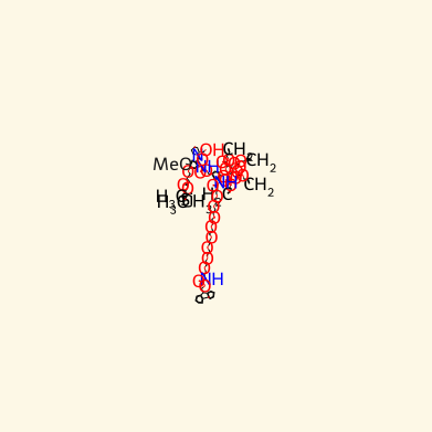 C=CCOC(=O)O[C@@H]1[C@@H](OC(=O)OCC=C)[C@H](Oc2ccc(COC(=O)Nc3cc(OCCCC(=O)OCC[Si](C)(C)C)c(OC)cc3C(=O)N3CCCC[C@H]3CO)cc2NC(=O)CCOCCOCCOCCOCCOCCOCCOCCOCCNC(=O)OCC2c3ccccc3-c3ccccc32)O[C@H](C(=O)OCC=C)[C@H]1OC(=O)OCC=C